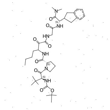 CCCCC(NC(=O)[C@@H]1CCCN1C(=O)[C@@H](NC(=O)OC(C)(C)C)C(C)(C)C)C(=O)C(=O)NCC(=O)N[C@H](C(=O)N(C)C)C1Cc2ccccc2C1